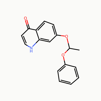 CC(Oc1ccccc1)Oc1ccc2c(=O)cc[nH]c2c1